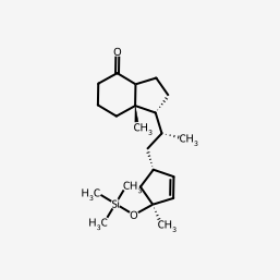 C[C@H](C[C@@H]1C=C[C@@](C)(O[Si](C)(C)C)C1)[C@H]1CCC2C(=O)CCC[C@]21C